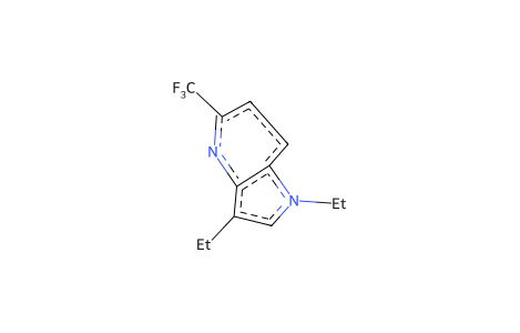 CCc1cn(CC)c2ccc(C(F)(F)F)nc12